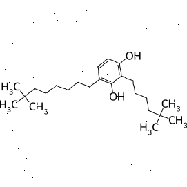 CC(C)(C)CCCCCCc1ccc(O)c(CCCCC(C)(C)C)c1O